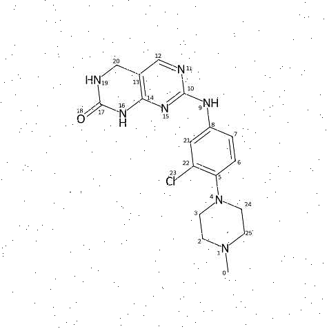 CN1CCN(c2ccc(Nc3ncc4c(n3)NC(=O)NC4)cc2Cl)CC1